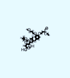 CCOC(=C=O)CCOc1ccc(C[C@@H](C[C@H](NC(=O)OC(C)(C)C)[C@@H](O)C[C@@H](C)C(=O)O)C(C)C)cc1OCCCOC